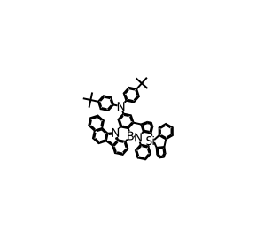 CC(C)(C)c1ccc(N(c2ccc(C(C)(C)C)cc2)c2cc3c4c(c2)-n2c5c(cccc5c5ccc6ccccc6c52)B4N2c4ccccc4[Si]4(c5ccccc5-c5ccccc54)c4cccc-3c42)cc1